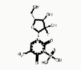 Cc1cn([C@@H]2O[C@H](CO)[C@@H](O)[C@]2(O)F)c(=O)n(P(O)(O)=S)c1=O